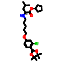 CC(C)C[C@H](NCCCCCOc1ccc(B2OC(C)(C)C(C)(C)O2)c(Cl)c1)C(=O)OC1CCCC1